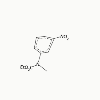 CCOC(=O)N(C)c1cccc([N+](=O)[O-])c1